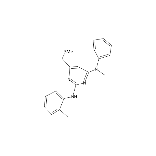 CSCc1cc(N(C)c2ccccc2)nc(Nc2ccccc2C)n1